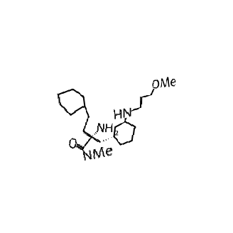 CNC(=O)[C@@](N)(CCC1CCCCC1)C[C@H]1CCC[C@H](NCCCOC)C1